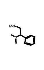 CNC[C@@H](c1ccccc1)N(C)C